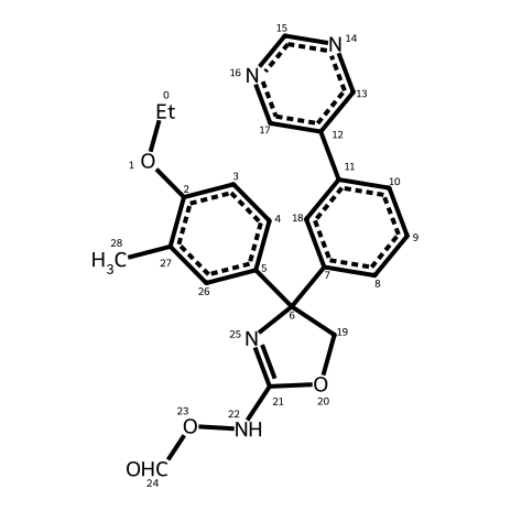 CCOc1ccc(C2(c3cccc(-c4cncnc4)c3)COC(NOC=O)=N2)cc1C